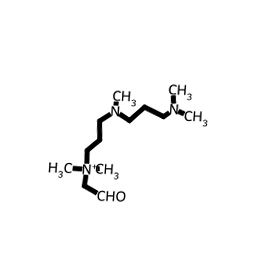 CN(C)CCCN(C)CCC[N+](C)(C)CC=O